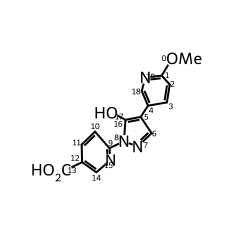 COc1ccc(-c2cnn(-c3ccc(C(=O)O)cn3)c2O)cn1